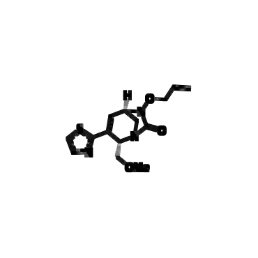 C=CCON1C(=O)N2C[C@H]1C=C(c1nccs1)[C@H]2COC